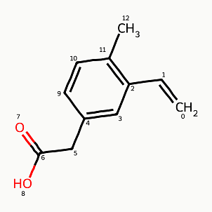 C=Cc1cc(CC(=O)O)ccc1C